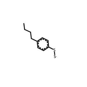 CCCCc1ccc(S[S])cc1